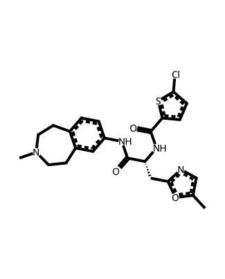 Cc1cnc(C[C@@H](NC(=O)c2ccc(Cl)s2)C(=O)Nc2ccc3c(c2)CCN(C)CC3)o1